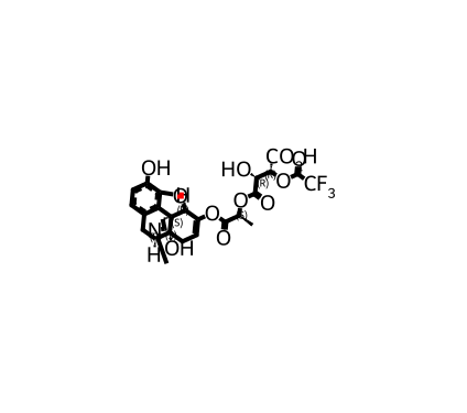 C[C@H](OC(=O)[C@H](O)[C@@H](OC(=O)C(F)(F)F)C(=O)O)C(=O)OC1=CC[C@@]2(O)[C@H]3Cc4ccc(O)c5c4[C@@]2(CCN3C)[C@H]1O5